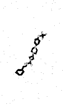 O=C(NCCc1ccccc1)N1CC(N2CCN(c3ccc(OC(F)(F)F)cc3)CC2)C1